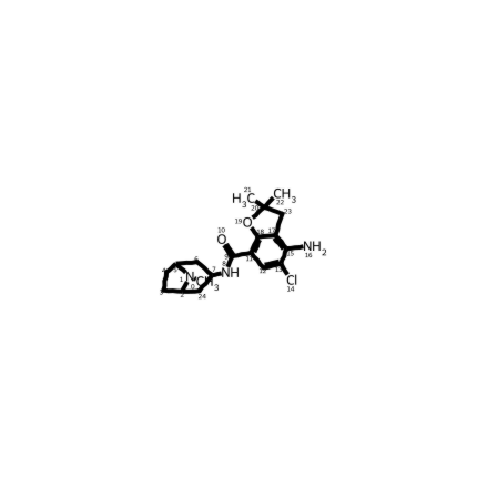 CN1C2CCC1CC(NC(=O)c1cc(Cl)c(N)c3c1OC(C)(C)C3)C2